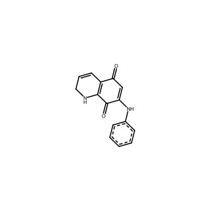 O=C1C=C(Nc2ccccc2)C(=O)C2=C1C=CCN2